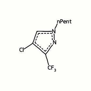 CCCCCn1cc(Cl)c(C(F)(F)F)n1